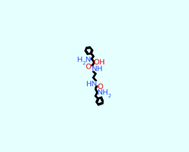 NC(CC(=O)NCCCCNC(=O)C(O)C(N)Cc1ccccc1)Cc1ccccc1